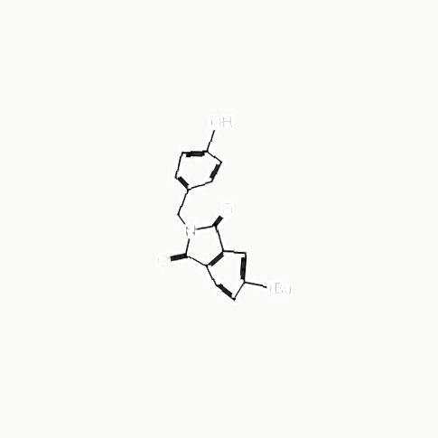 CC(C)(C)c1ccc2c(c1)C(=O)N(Cc1ccc(O)cc1)C2=O